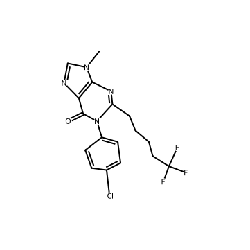 Cn1cnc2c(=O)n(-c3ccc(Cl)cc3)c(CCCCC(F)(F)F)nc21